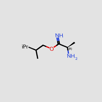 CC(C)C(C)COC(=N)[C@@H](C)N